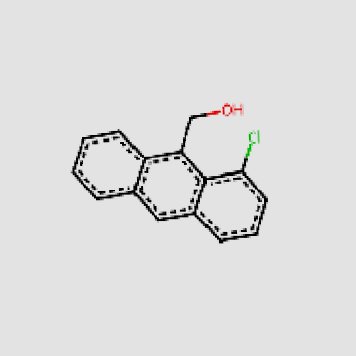 OCc1c2ccccc2cc2cccc(Cl)c12